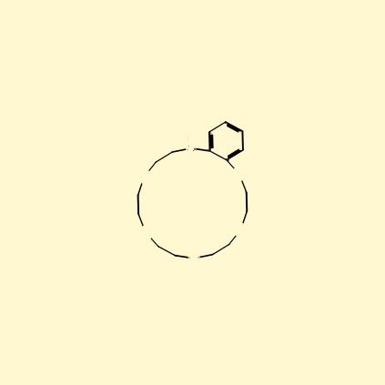 c1ccc2c(c1)NCCOCCOCCOCCOCCO2